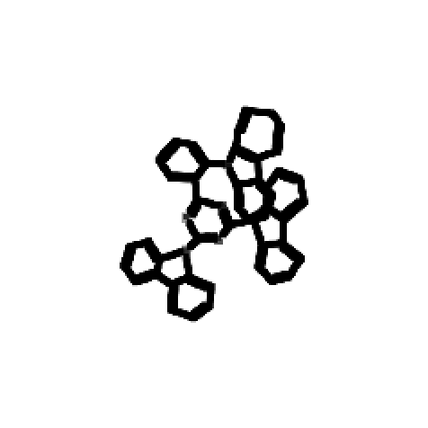 C1=Cc2c(n(-c3ccccc3-c3nc(-n4c5ccccc5c5ccccc54)nc(-n4c5ccccc5c5ccccc54)n3)c3ccccc23)C=CC1